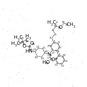 C=C(CCCc1ccc(-c2ccccc2)c(N(C(=O)O)C2CCC(NC(=O)OC(C)(C)C)CC2)c1)OCC